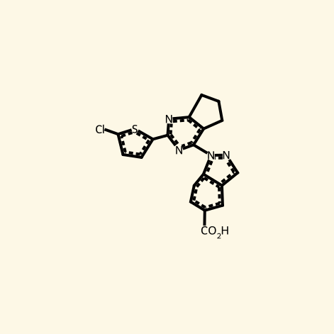 O=C(O)c1ccc2c(cnn2-c2nc(-c3ccc(Cl)s3)nc3c2CCC3)c1